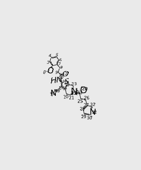 COc1ccccc1CCC(=O)Nc1sc2c(c1C#N)CCN(C(=O)CCc1cccnc1)C2